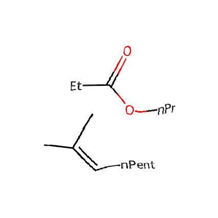 CCCCCC=C(C)C.CCCOC(=O)CC